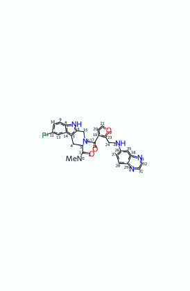 CNC(=O)C1Cc2c([nH]c3ccc(F)cc23)CN1C(=O)c1ccoc1CNc1ccc2nccnc2c1